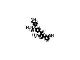 NCc1cccc(N(C(N)=O)c2ccc(-c3csc4c(-c5cccc(O)c5)cnc(N)c34)cc2)c1